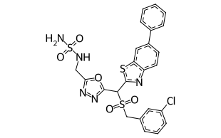 NS(=O)(=O)NCc1nnc(C(c2nc3ccc(-c4ccccc4)cc3s2)S(=O)(=O)Cc2cccc(Cl)c2)o1